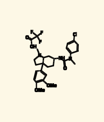 COc1ccc(C23CCC(NC(=O)N(C)c4ccc(Cl)cc4)CC2N(C)CC3)cc1OC.O=C(O)C(F)(F)F